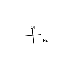 CC(C)(C)O.[Nd]